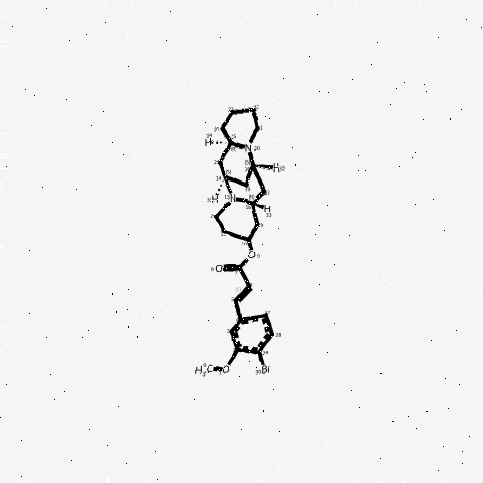 COc1cc(/C=C/C(=O)OC2CCN3[C@@H]4C[C@@H](C[C@@H]3C2)N2CCCC[C@@H]2C4)ccc1Br